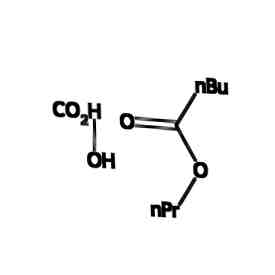 CCCCC(=O)OCCC.O=C(O)O